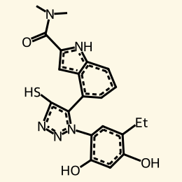 CCc1cc(-n2nnc(S)c2-c2cccc3[nH]c(C(=O)N(C)C)cc23)c(O)cc1O